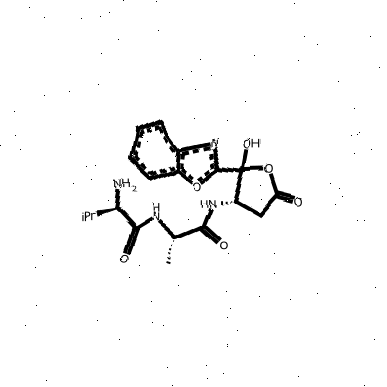 CC(C)[C@@H](N)C(=O)N[C@@H](C)C(=O)N[C@H]1CC(=O)OC1(O)c1nc2ccccc2o1